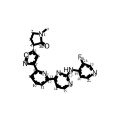 CN1CC[C@@H](c2cc(-c3cccc(-c4ccnc(Nc5ccncc5F)n4)n3)no2)C1=O